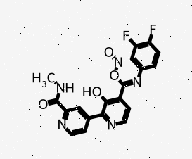 CNC(=O)c1cc(-c2nccc(C(=Nc3ccc(F)c(F)c3)ON=O)c2O)ccn1